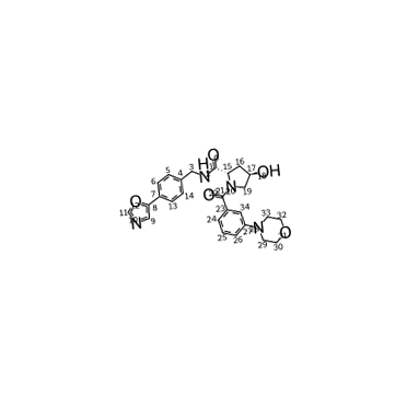 O=C(NCc1ccc(-c2cnco2)cc1)[C@@H]1C[C@@H](O)CN1C(=O)c1cccc(N2CCOCC2)c1